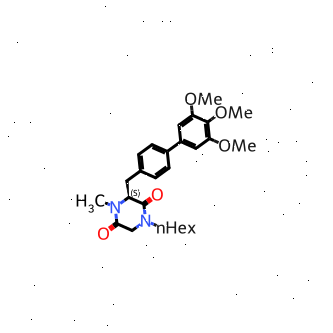 CCCCCCN1CC(=O)N(C)[C@@H](Cc2ccc(-c3cc(OC)c(OC)c(OC)c3)cc2)C1=O